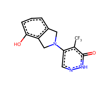 O=c1[nH]ncc(N2Cc3cccc(O)c3C2)c1C(F)(F)F